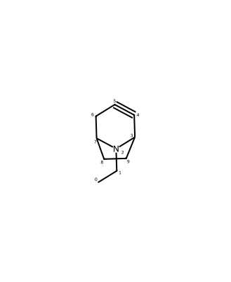 CCN1C2C#CCC1CC2